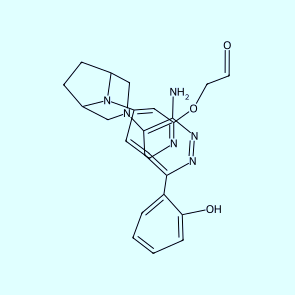 Nc1nnc(-c2ccccc2O)cc1N1CC2CCC(C1)N2c1ccnc(OCC=O)c1